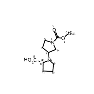 CC(C)(C)OC(=O)N1CCC(N2CCC[C@@H]2C(=O)O)C1